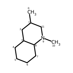 CC1CC2CCCCC2N(C)C1